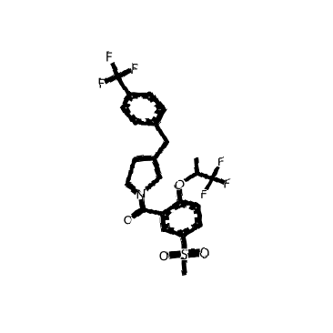 CC(Oc1ccc(S(C)(=O)=O)cc1C(=O)N1CCC(Cc2ccc(C(F)(F)F)cc2)C1)C(F)(F)F